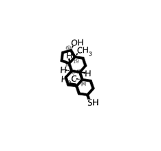 C[C@]12CC[C@H]3[C@@H](CC=C4CC(S)CC[C@@]43C)[C@@H]1CC[C@@H]2O